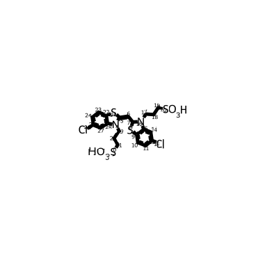 O=S(=O)(O)CCCN1C(=CC2Sc3ccc(Cl)cc3N2CCCS(=O)(=O)O)Sc2ccc(Cl)cc21